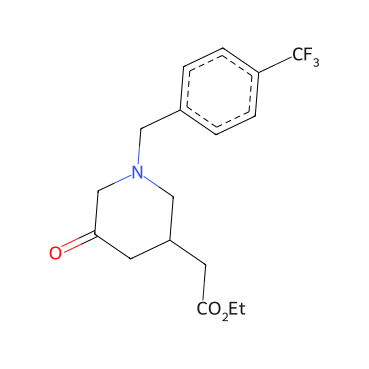 CCOC(=O)CC1CC(=O)CN(Cc2ccc(C(F)(F)F)cc2)C1